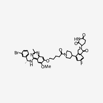 COc1cc2c(N[C@H](C)c3cccc(Br)c3)nc(C)nc2cc1OCCCCC(=O)N1CCC(c2cc(F)cc3c2CN(C2CCC(=O)NC2=O)C3=O)CC1